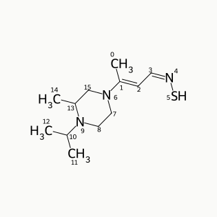 C/C(=C\C=N/S)N1CCN(C(C)C)C(C)C1